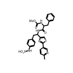 COC(=O)NC(Cc1ccccc1)C(=O)NC(Cc1ccc(NS(=O)(=O)O)cc1)c1csc(-c2ccc(C)nc2)n1